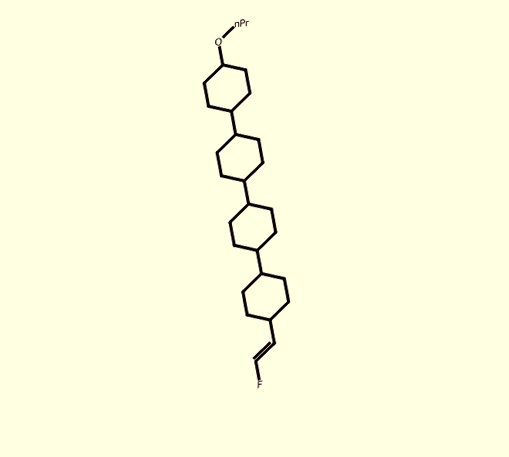 CCCOC1CCC(C2CCC(C3CCC(C4CCC(/C=C/F)CC4)CC3)CC2)CC1